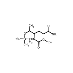 CC(O[Si](C)(C)C(C)(C)C)C(CCC(N)=O)NC(=O)OC(C)(C)C